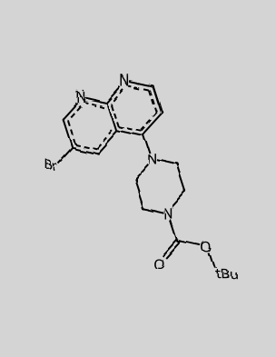 CC(C)(C)OC(=O)N1CCN(c2ccnc3ncc(Br)cc23)CC1